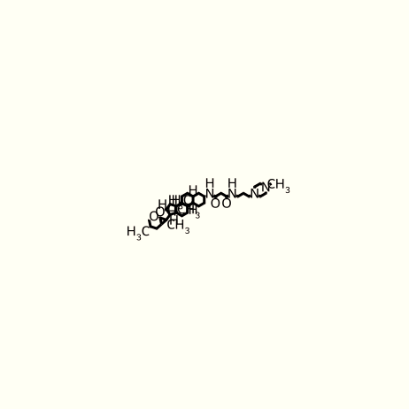 C[C@@H]1CO[C@]23O[C@H]4C[C@H]5[C@@H]6CC[C@@H]7C[C@H](NC(=O)CC(=O)NCCCN8CCN(C)CC8)CC[C@]7(C)[C@H]6CC[C@]5(C)[C@H]4[C@]2(C)C3C1